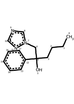 CCCCC(O)(Cn1cncn1)c1ccccc1